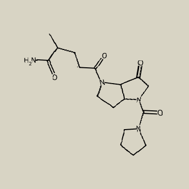 CC(C[CH]C(=O)N1CCC2C1C(=O)CN2C(=O)N1CCCC1)C(N)=O